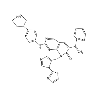 C=C(c1ccccc1)c1cc2cnc(Nc3ccc(C4CCNCC4)cc3)nc2n(Cc2cncn2-c2nccs2)c1=O